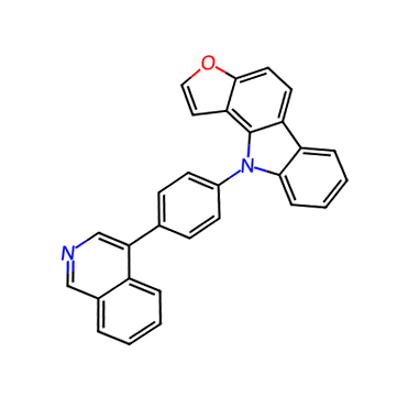 c1ccc2c(-c3ccc(-n4c5ccccc5c5ccc6occc6c54)cc3)cncc2c1